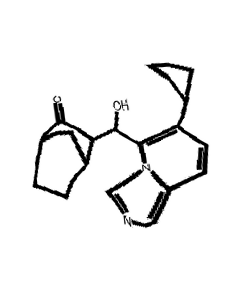 O=C1C2CCC(C2)C1C(O)c1c(C2CC2)ccc2cncn12